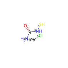 NC(=O)NS.[Cl][PbH]